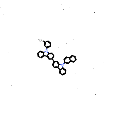 CCCCc1cccc(-n2c3ccccc3c3cc(-c4ccc5c6ccccc6n(-c6ccc7ccccc7c6)c5c4)ccc32)c1